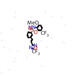 COc1ccc(C(F)(F)F)cc1NS(=O)(=O)c1cccc(/C=C/c2noc(C(F)(F)F)n2)c1